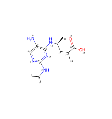 CC(C)Nc1ncc(N)c(N[C@@H](C)CC(C)C(=O)O)n1